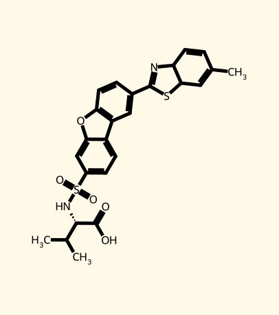 CC1=CC2SC(c3ccc4oc5cc(S(=O)(=O)N[C@H](C(=O)O)C(C)C)ccc5c4c3)=NC2C=C1